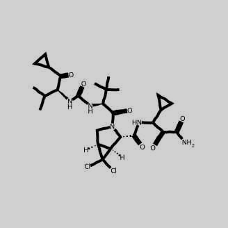 CC(C)[C@H](NC(=O)N[C@H](C(=O)N1C[C@H]2[C@@H]([C@H]1C(=O)NC(C(=O)C(N)=O)C1CC1)C2(Cl)Cl)C(C)(C)C)C(=O)C1CC1